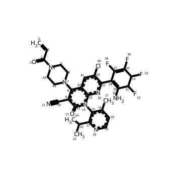 C=CC(=O)N1CCN(c2c(C#N)c(=O)n(-c3c(C)ccnc3C(C)C)c3nc(C4=C(N)C(F)C(F)C(F)=C4F)c(Cl)cc23)CC1